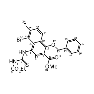 CCOC(=O)NC(=S)Nc1nc(C(=O)OC)c(OCc2ccccc2)c2ccc(F)c(Br)c12